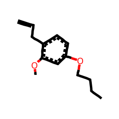 C=CCc1ccc(OCCCC)cc1OC